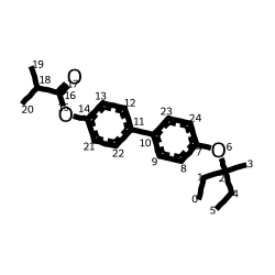 CCC(C)(CC)Oc1ccc(-c2ccc(OC(=O)C(C)C)cc2)cc1